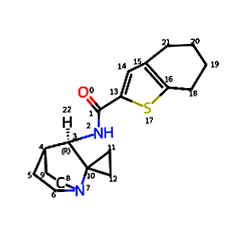 O=C(N[C@@H]1C2CCN(CC2)C12CC2)c1cc2c(s1)CCCC2